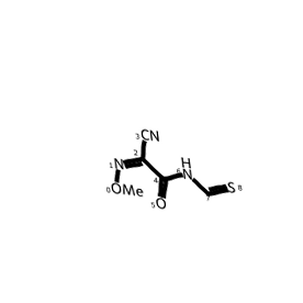 CON=C(C#N)C(=O)NC=S